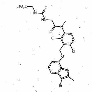 CCOC(=O)CNC(=O)NCC(=O)N(C)c1ccc(Cl)c(COc2cccn3c(Br)c(C)nc23)c1Cl